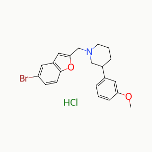 COc1cccc(C2CCCN(Cc3cc4cc(Br)ccc4o3)C2)c1.Cl